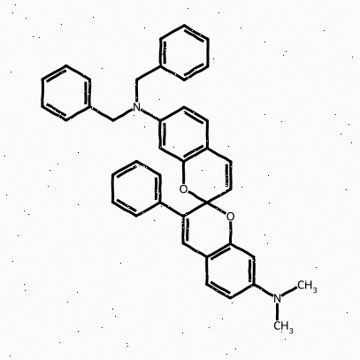 CN(C)c1ccc2c(c1)OC1(C=Cc3ccc(N(Cc4ccccc4)Cc4ccccc4)cc3O1)C(c1ccccc1)=C2